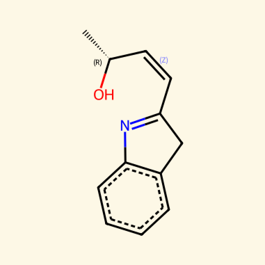 C[C@@H](O)/C=C\C1=Nc2ccccc2C1